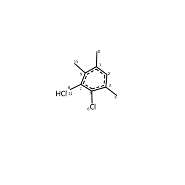 Cc1cc(C)c(Cl)c(C)c1C.Cl